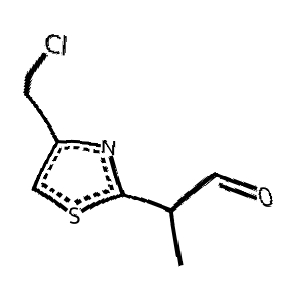 CC(C=O)c1nc(CCl)cs1